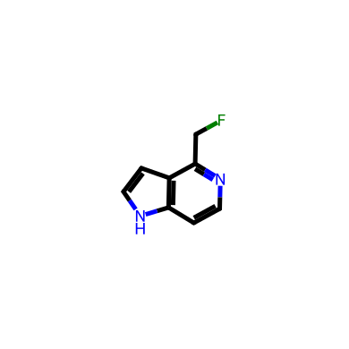 FCc1nccc2[nH]ccc12